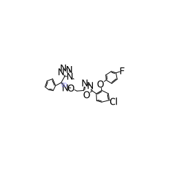 Cn1nnnc1/C(=N\OCc1nnc(-c2ccc(Cl)cc2Oc2ccc(F)cc2)o1)c1ccccc1